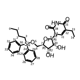 CCCC[Si](OC[C@H]1O[C@@H](n2cc(CC)c(=O)[nH]c2=O)[C@H](O)[C@@H]1O)(c1ccccc1)c1ccccc1